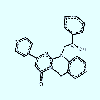 O=c1cc(-c2ccncc2)nc2n1Cc1ccccc1N2C[C@H](O)c1ccccc1